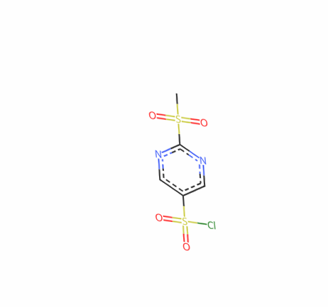 CS(=O)(=O)c1ncc(S(=O)(=O)Cl)cn1